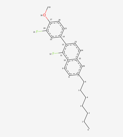 CCCCCCCc1ccc2c(F)c(-c3ccc(OC)c(F)c3)ccc2c1